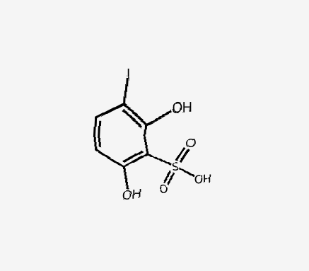 O=S(=O)(O)c1c(O)ccc(I)c1O